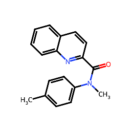 Cc1ccc(N(C)C(=O)c2ccc3ccccc3n2)cc1